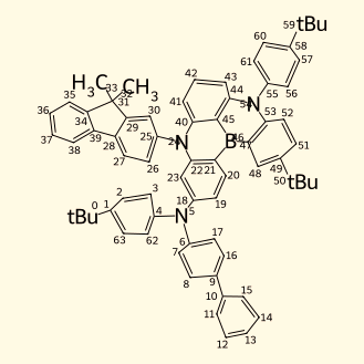 CC(C)(C)c1ccc(N(c2ccc(-c3ccccc3)cc2)c2ccc3c(c2)N(c2ccc4c(c2)C(C)(C)c2ccccc2-4)c2cccc4c2B3c2cc(C(C)(C)C)ccc2N4c2ccc(C(C)(C)C)cc2)cc1